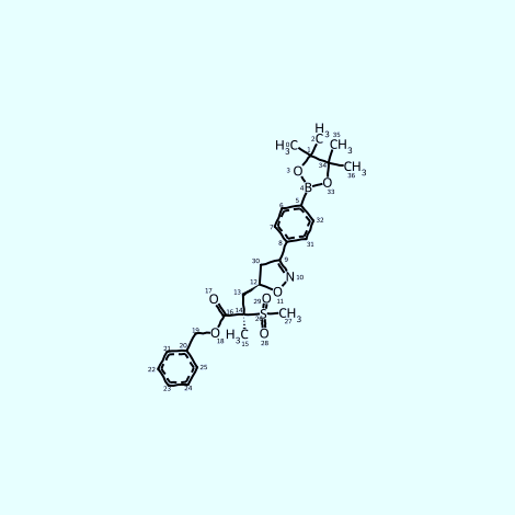 CC1(C)OB(c2ccc(C3=NO[C@@H](C[C@](C)(C(=O)OCc4ccccc4)S(C)(=O)=O)C3)cc2)OC1(C)C